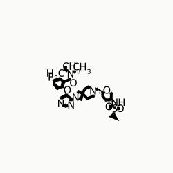 CCN(C(=O)c1cc(F)ccc1Oc1cncnc1N1CC2(CCN(C[C@@H]3CC[C@@H](NS(=O)(=O)C4CC4)CO3)CC2)C1)C(C)C